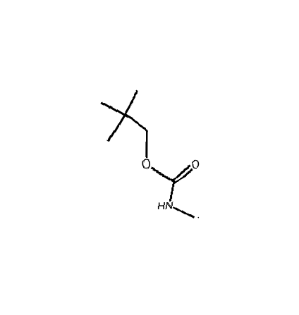 [CH2]NC(=O)OCC(C)(C)C